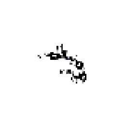 CNC(=O)c1cc(Oc2ccc(NC(=O)/C=C/c3c[nH]c4cc([N+](=O)[O-])ccc34)cc2)ccn1